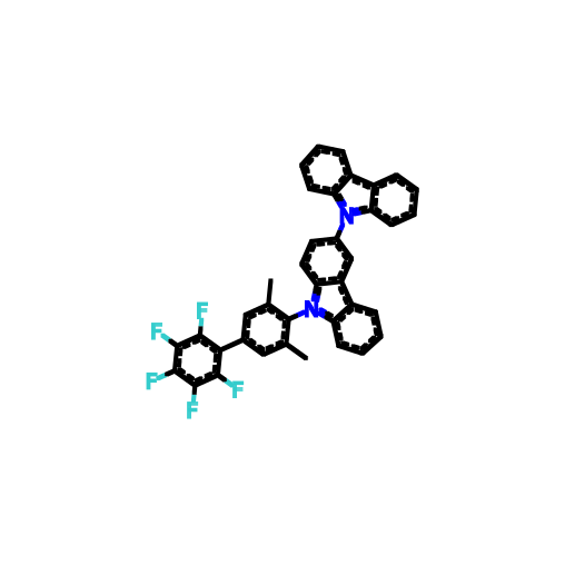 Cc1cc(-c2c(F)c(F)c(F)c(F)c2F)cc(C)c1-n1c2ccccc2c2cc(-n3c4ccccc4c4ccccc43)ccc21